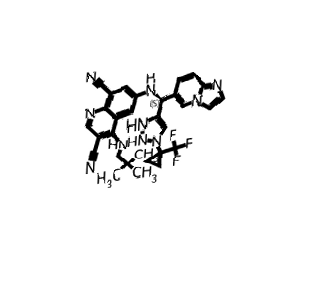 CC(C)(C)CNc1c(C#N)cnc2c(C#N)cc(N[C@H](C3=CN(C4(C(F)(F)F)CC4)NN3)c3ccc4nccn4c3)cc12